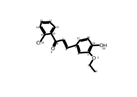 CCOc1cc(/C=C/C(=O)c2ccccc2Cl)ccc1O